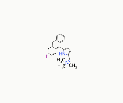 C[N+](C)(C)Cc1ccc(-c2c3ccccc3cc3ccccc23)[nH]1.[I-]